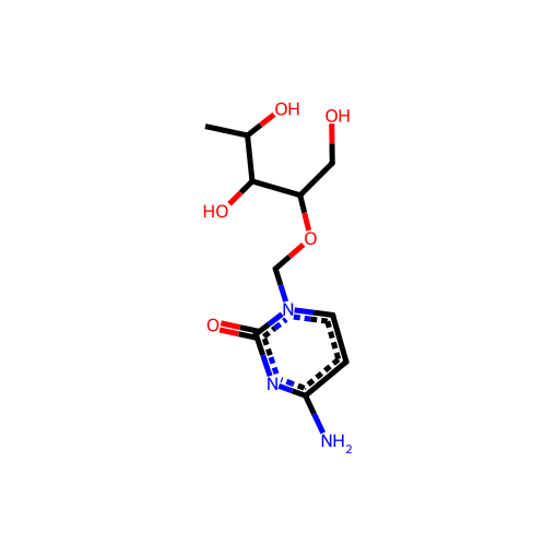 CC(O)C(O)C(CO)OCn1ccc(N)nc1=O